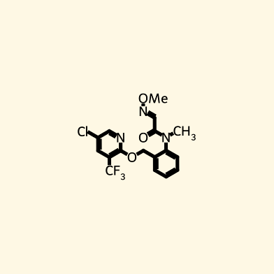 CON=CC(=O)N(C)c1ccccc1COc1ncc(Cl)cc1C(F)(F)F